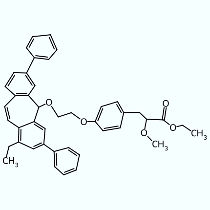 CCOC(=O)C(Cc1ccc(OCCOC2c3cc(-c4ccccc4)ccc3C=Cc3c(CC)cc(-c4ccccc4)cc32)cc1)OC